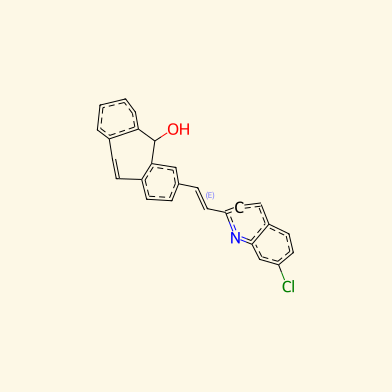 OC1c2ccccc2C=Cc2ccc(/C=C/c3ccc4ccc(Cl)cc4n3)cc21